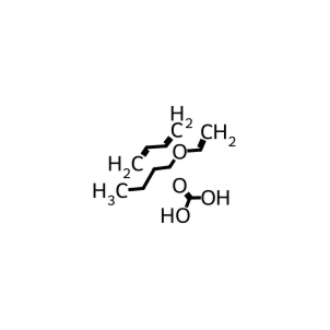 C=CC=C.C=COCCCC.O=C(O)O